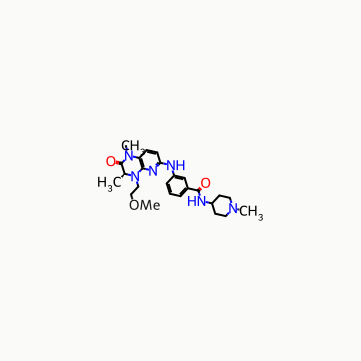 COCCN1c2nc(Nc3cccc(C(=O)NC4CCN(C)CC4)c3)ccc2N(C)C(=O)[C@@H]1C